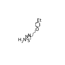 CCc1ccc(OCCCCC2=NN=C(N)SC2)cc1